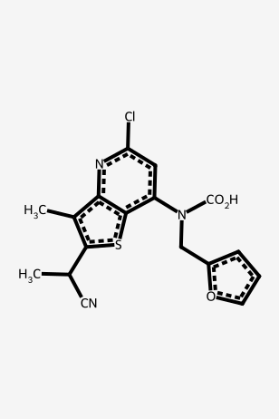 Cc1c(C(C)C#N)sc2c(N(Cc3ccco3)C(=O)O)cc(Cl)nc12